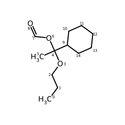 CCCOC(C)(O[C]=O)C1CCCCC1